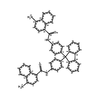 Nc1ccc(C(=O)Nc2ccc(C3(c4ccc(NC(=O)c5ccc(N)c6ccccc56)cc4)c4ccccc4-c4ccccc43)cc2)c2ccccc12